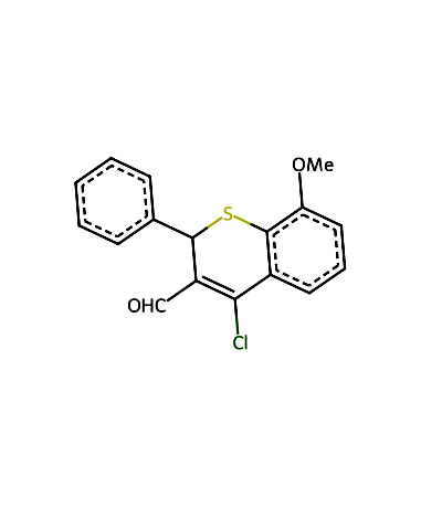 COc1cccc2c1SC(c1ccccc1)C(C=O)=C2Cl